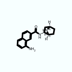 Nc1cccc2ccc(C(=O)N[C@@H]3C[C@H]4CC[C@@H]3N4)cc12